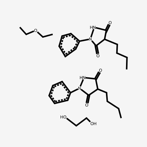 CCCCC1C(=O)NN(c2ccccc2)C1=O.CCCCC1C(=O)NN(c2ccccc2)C1=O.CCOCC.OCCO